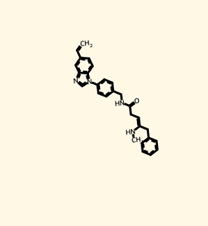 C=Cc1ccc2c(c1)ncn2-c1ccc(CNC(=O)C/C=C(/Cc2ccccc2)NC)cc1